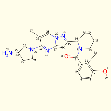 COc1cccc(C(=O)N2CCCCC2c2cc3nc(N4CC[C@H](N)C4)c(C)cn3n2)c1C